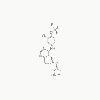 FC(F)(F)Oc1ccc(Nc2ncnc3ccc(O[C@H]4CCNC4)nc23)cc1Cl